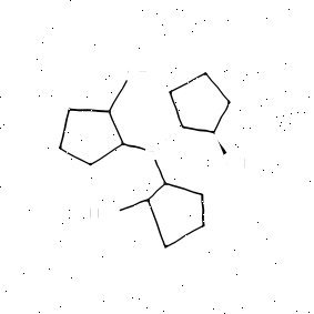 CC1CCCC1B(C1CCCC1C)[C@@H]1CCC[C@H]1C